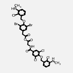 CNc1cccc(COc2c(Cl)cc(C(=O)NCC(=O)OC(=O)Cc3cc(Br)c(OCc4cccc(NC)c4Cl)c(Br)c3)cc2Cl)c1Cl